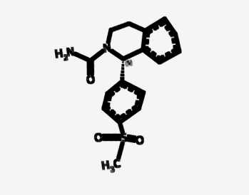 CS(=O)(=O)c1ccc([C@H]2c3ccccc3CCN2C(N)=O)cc1